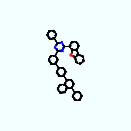 c1ccc(-c2nc(-c3cccc(-c4ccc(-c5ccc(-c6ccccc6)c6ccccc56)cc4)c3)nc(-c3cccc4c3oc3ccccc34)n2)cc1